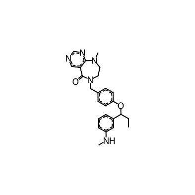 CCC(Oc1ccc(CN2CCN(C)c3ncncc3C2=O)cc1)c1cccc(NC)c1